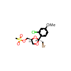 COc1ccc([C@@]2(CBr)OC[C@@H](COS(C)(=O)=O)O2)c(Cl)c1